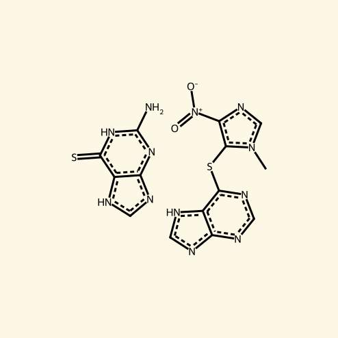 Cn1cnc([N+](=O)[O-])c1Sc1ncnc2nc[nH]c12.Nc1nc2nc[nH]c2c(=S)[nH]1